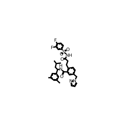 Cc1cc(C)cc(C(CC(C)C)NC(=O)c2cc(Cn3cccn3)ccc2CCC(=O)NS(=O)(=O)c2ccc(F)c(F)c2)c1